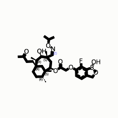 CC(=O)CC[C@]12CC[C@@H](C)[C@](C)(C1)[C@H](OC(=O)COc1ccc3c(c1F)B(O)OC3)C[C@@](C)(/C=N\OC(C)C)[C@@H](O)[C@@H]2C